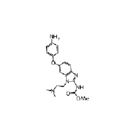 COC(=O)Nc1nc2ccc(Oc3ccc(N)cc3)cc2n1CCN(C)C